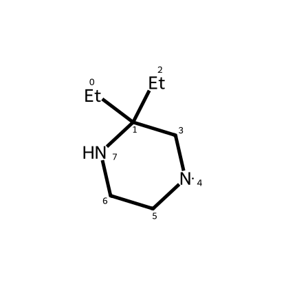 CCC1(CC)C[N]CCN1